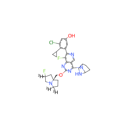 [2H]C1([2H])CC[C@@]2(COc3nc(N4CC5CCC4CN5)c4cnc(-c5cc(O)cc(Cl)c5C5CC5)c(F)c4n3)C[C@@]([2H])(F)CN12